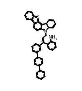 Nc1ccccc1/C(=C\CN1c2ccc3c(sc4ccccc43)c2C2C=CC=CC21)c1cccc(-c2ccc(-c3ccccc3)cc2)c1